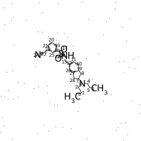 CCCN(CCC)[C@@H]1Cc2ccc(CNS(=O)(=O)c3cccc(C#N)c3)cc2C1